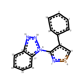 c1ccc(-c2csnc2-n2nnc3ccccc32)cc1